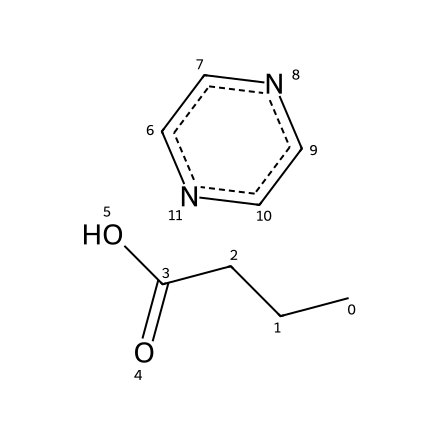 CCCC(=O)O.c1cnccn1